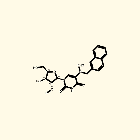 O=CN(Cc1ccc2ccccc2c1)c1cn([C@@H]2O[C@H](CO)[C@H](O)[C@H]2OF)c(=O)[nH]c1=O